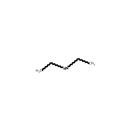 CCCCCCCC/C=C\CCCCCCCCN=C=NCCCCCCCC/C=C\CCCCCCCC